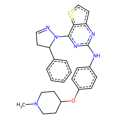 CN1CCC(Oc2ccc(Nc3nc(N4N=CCC4c4ccccc4)c4sccc4n3)cc2)CC1